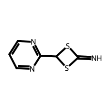 N=C1SC(c2ncccn2)S1